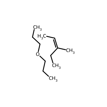 CC=C(C)CC.CCCOCCC